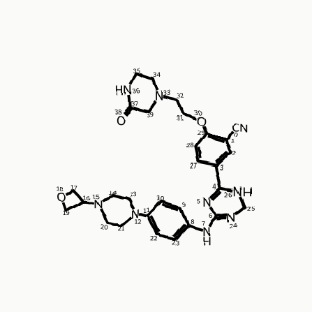 N#Cc1cc(C2=NC(Nc3ccc(N4CCN(C5COC5)CC4)cc3)=NCN2)ccc1OCCN1CCNC(=O)C1